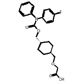 O=C(O)COC[C@H]1CC[C@H](COC(=O)N(c2ccccc2)c2ccc(F)cc2)CC1